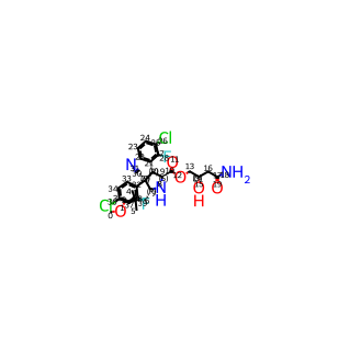 COCC(C)(C)C[C@H]1N[C@H](C(=O)OC[C@@H](O)CC(N)=O)[C@@H](c2cccc(Cl)c2F)[C@]1(C#N)c1ccc(Cl)cc1F